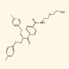 Cc1ccc(SCC(CSc2ccc(C)cc2)C(=O)c2ccc(C(=O)NCCOCCO)cc2)cc1